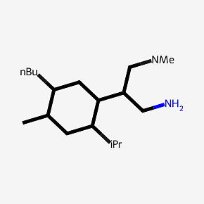 CCCCC1CC(C(CN)CNC)C(C(C)C)CC1C